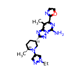 CCn1cc(N2C[C@@H](c3nc4c(C)c(-c5ncco5)nc(N)n4n3)CC[C@H]2C)cn1